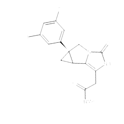 CNC(=O)Cc1[nH]c(=S)n2c1C1C[C@]1(c1cc(F)cc(Cl)c1)C2